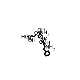 N[C@H](CNS(=O)(=O)N1C[C@H](CCCB(O)O)[C@](N)(C(=O)O)C1)Cc1ccccc1